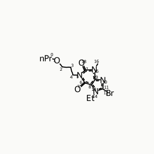 CCCOCCCn1c(=O)c2c(nc(Br)n2CC)n(C)c1=O